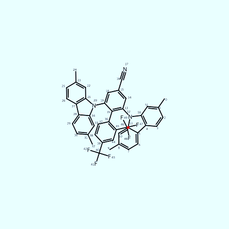 Cc1ccc2c3ccc(C)cc3n(-c3cc(C#N)cc(-n4c5cc(C)ccc5c5ccc(C)cc54)c3-c3ccc(C(F)(F)F)cc3C(F)(F)F)c2c1